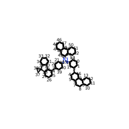 c1cc(-c2ccc3ccc4ccccc4c3c2)cc(N(c2ccc(-c3cccc4c3-c3ccccc3C43CC3)cc2)c2cc3ccccc3c3ccccc23)c1